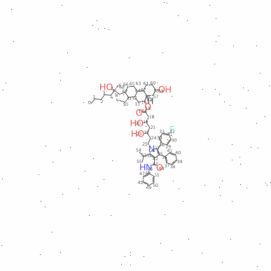 CCCCC[C@](C)(O)[C@H]1CCC2C3C[C@H](OC(=O)C[C@H](O)C[C@H](O)CCn4c(-c5ccc(F)cc5)c(-c5ccccc5)c(C(=O)Nc5ccccc5)c4C(C)C)[C@H]4C[C@@H](O)CC[C@]4(C)C3CC[C@@]21C